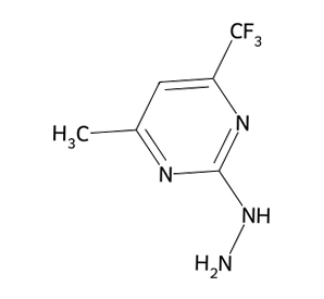 Cc1cc(C(F)(F)F)nc(NN)n1